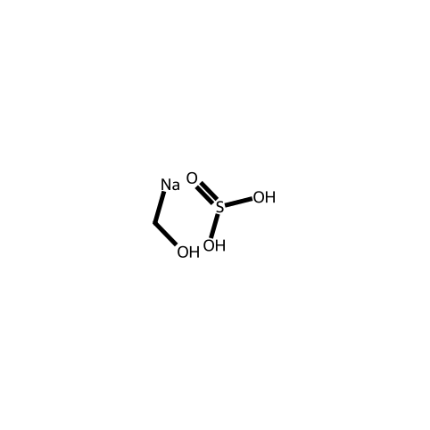 O=S(O)O.O[CH2][Na]